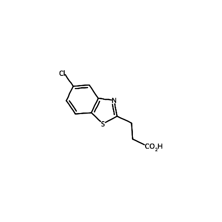 O=C(O)CCc1nc2cc(Cl)ccc2s1